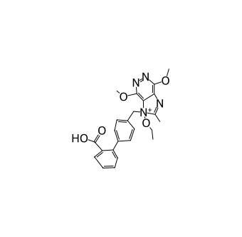 CCO[N+]1(Cc2ccc(-c3ccccc3C(=O)O)cc2)C(C)=Nc2c(OC)nnc(OC)c21